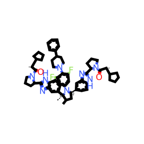 CC1C[C@H](c2ccc3[nH]c(C4CCCN4C(=O)[CH]C4CCCC4)nc3c2)N(c2cc(F)c(N3CCC(c4ccccc4)CC3)c(F)c2)[C@]1(C)c1ccc2[nH]c(C3CCCN3C(=O)[CH]C3CCCC3)nc2c1